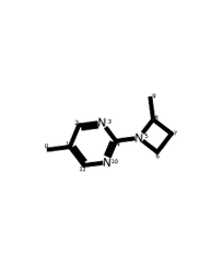 Cc1cnc(N2CCC2C)nc1